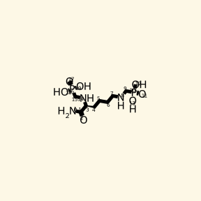 NC(=O)[C@H](CCCCNCP(=O)(O)O)NCP(=O)(O)O